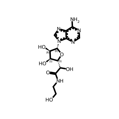 Nc1ncnc2c1ncn2[C@@H]1O[C@H](C(O)C(=O)NCCO)[C@@H](O)[C@H]1O